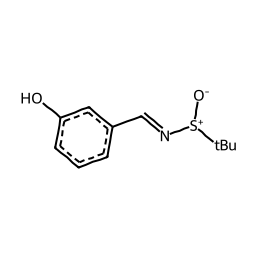 CC(C)(C)[S+]([O-])N=Cc1cccc(O)c1